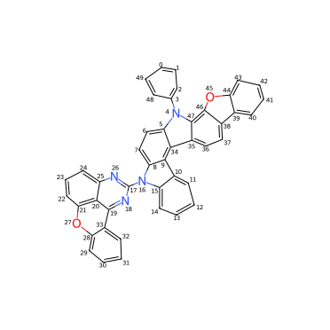 c1ccc(-n2c3ccc4c(c5ccccc5n4-c4nc5c6c(cccc6n4)Oc4ccccc4-5)c3c3ccc4c5ccccc5oc4c32)cc1